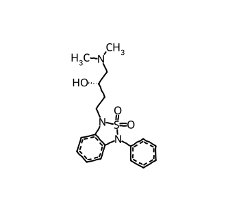 CN(C)C[C@@H](O)CCN1c2ccccc2N(c2ccccc2)S1(=O)=O